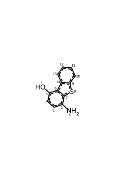 Nc1ccc(O)c2c1sc1ccccc12